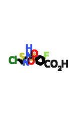 O=C(O)c1ccc(S(=O)(=O)Nc2ncc(Cl)s2)cc1F